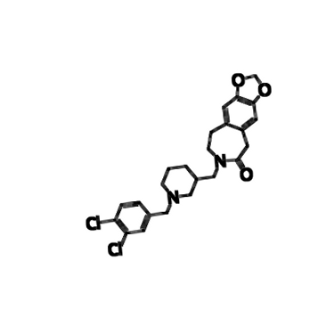 O=C1Cc2cc3c(cc2CCN1CC1CCCN(Cc2ccc(Cl)c(Cl)c2)C1)OCO3